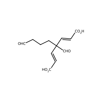 O=CCCCC(C=O)(C=CC(=O)O)C=CC(=O)O